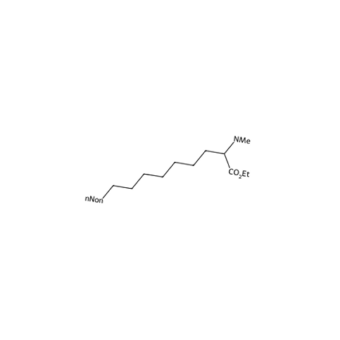 CCCCCCCCCCCCCCCCC(NC)C(=O)OCC